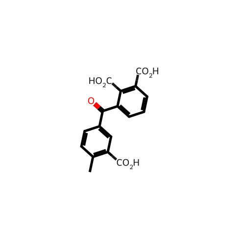 Cc1ccc(C(=O)c2cccc(C(=O)O)c2C(=O)O)cc1C(=O)O